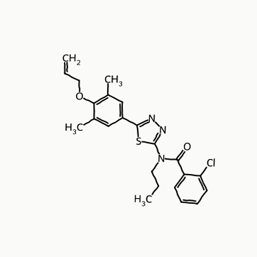 C=CCOc1c(C)cc(-c2nnc(N(CCC)C(=O)c3ccccc3Cl)s2)cc1C